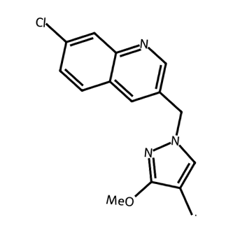 [CH2]c1cn(Cc2cnc3cc(Cl)ccc3c2)nc1OC